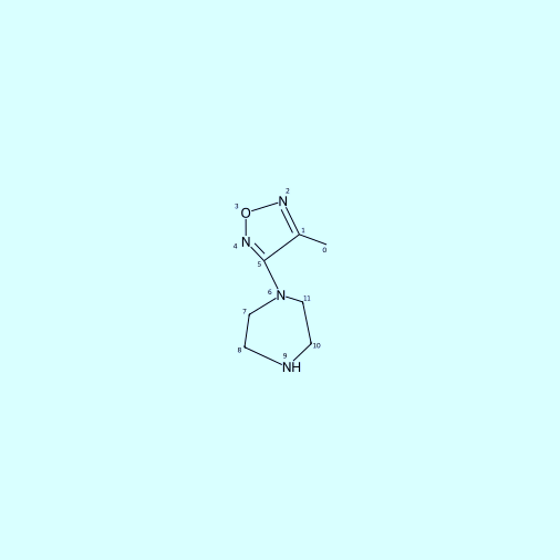 Cc1nonc1N1CCNCC1